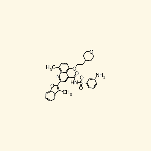 Cc1c(-c2cc(C(=O)NS(=O)(=O)c3cccc(N)c3)c3c(OCCC4CCOCC4)ccc(C)c3n2)oc2ccccc12